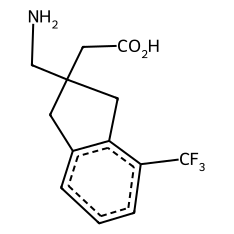 NCC1(CC(=O)O)Cc2cccc(C(F)(F)F)c2C1